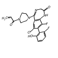 C=CC(=O)N1CCN(C2=NCC(=O)Nc3c2cc(Cl)c(-c2c(O)cccc2F)c3F)CC1